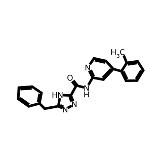 Cc1ccccc1-c1ccnc(NC(=O)c2nnc(Cc3ccccc3)[nH]2)c1